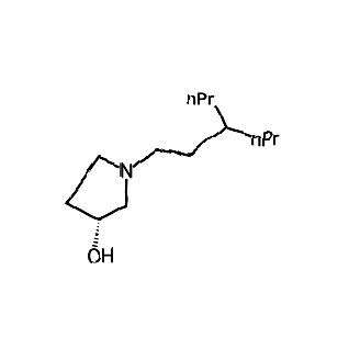 CCCC(CCC)CCN1CC[C@@H](O)C1